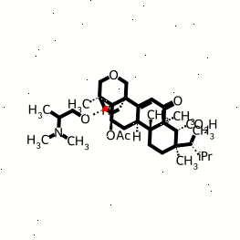 CC(=O)O[C@@H]1C[C@@]23COC[C@@](C)([C@@H]2CC[C@H]2C3=CC(=O)[C@@]3(C)[C@H](C(=O)O)[C@@](C)([C@H](C)C(C)C)CC[C@]23C)[C@H]1OCC(C)N(C)C